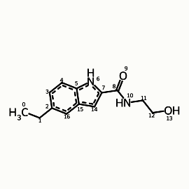 CCc1ccc2[nH]c(C(=O)NCCO)cc2c1